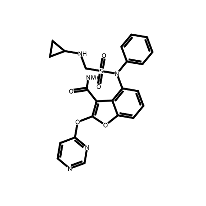 CNC(=O)c1c(Oc2ccncn2)oc2cccc(N(c3ccccc3)S(=O)(=O)CNC3CC3)c12